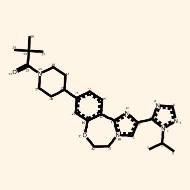 CC(C)n1ncnc1-c1cn2c(n1)-c1ccc(C3CCN(C(=O)C(C)(C)C)CC3)cc1OCC2